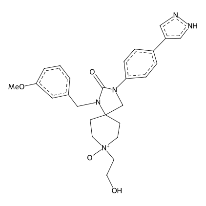 COc1cccc(CN2C(=O)N(c3ccc(-c4cn[nH]c4)cc3)CC23CC[N+]([O-])(CCO)CC3)c1